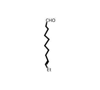 CC/C=C/CCCCCCCC=O